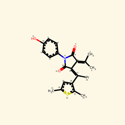 CC(C)=C1C(=O)N(c2ccc(O)cc2)C(=O)C1=C(c1cc(C)sc1C)C(C)C